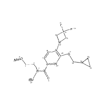 COCCN(C(=O)c1ccc(N2CC(F)(F)C2)c(OCC2CC2)n1)C(C)(C)C